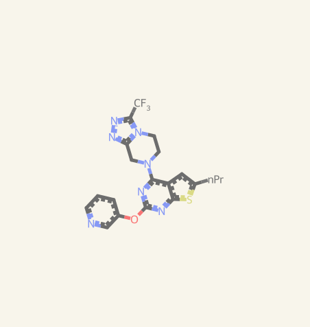 CCCc1cc2c(N3CCn4c(nnc4C(F)(F)F)C3)nc(Oc3cccnc3)nc2s1